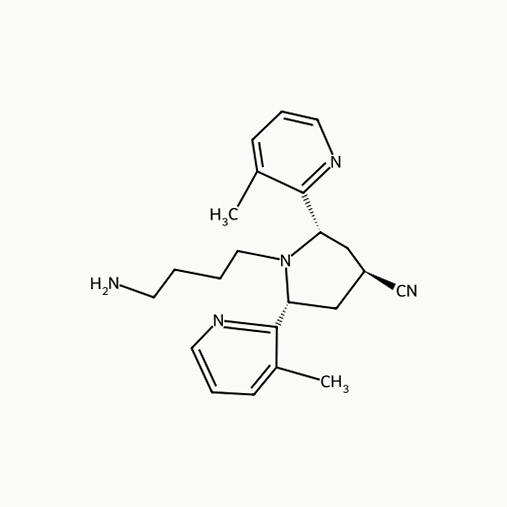 Cc1cccnc1[C@H]1C[C@H](C#N)C[C@@H](c2ncccc2C)N1CCCCN